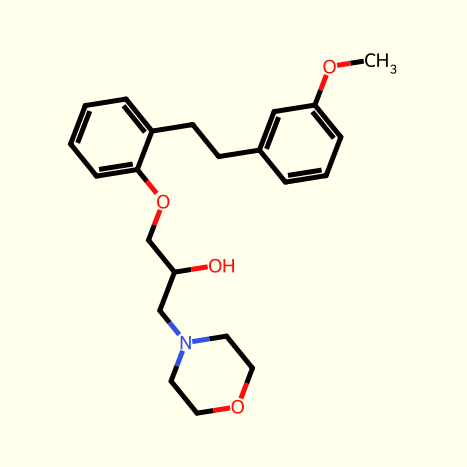 COc1cccc(CCc2ccccc2OCC(O)CN2CCOCC2)c1